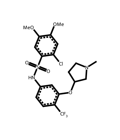 COc1cc(Cl)c(S(=O)(=O)Nc2ccc(C(F)(F)F)c(OC3CCN(C)C3)c2)cc1OC